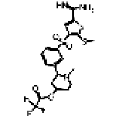 CSc1sc(C(=N)N)cc1S(=O)(=O)c1cccc(C2CC(OC(=O)C(F)(F)F)CCN2C)c1